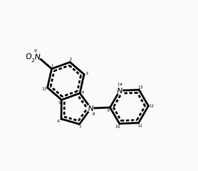 O=[N+]([O-])c1ccc2c(ccn2-c2ccccn2)c1